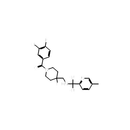 [2H]C([2H])(NCC1(F)CCN(C(=O)c2ccc(F)c(Cl)c2)CC1)c1ccc(C)cn1